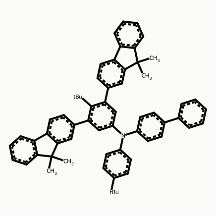 CC(C)(C)c1ccc(N(c2ccc(-c3ccccc3)cc2)c2cc(-c3ccc4c(c3)C(C)(C)c3ccccc3-4)c(C(C)(C)C)c(-c3ccc4c(c3)C(C)(C)c3ccccc3-4)c2)cc1